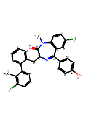 Cc1c(F)cccc1-c1ccccc1CC1N=C(c2ccc(O)cc2)c2cc(Cl)ccc2N(C)C1=O